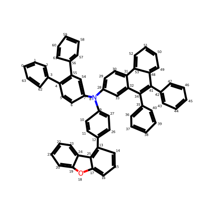 c1ccc(-c2ccc(N(c3ccc(-c4cccc5oc6ccccc6c45)cc3)c3ccc4c(c3)c(-c3ccccc3)c(-c3ccccc3)c3ccccc34)cc2-c2ccccc2)cc1